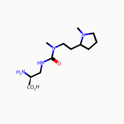 CN(CCC1CCCN1C)C(=O)NC[C@H](N)C(=O)O